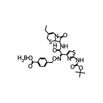 BOC(=O)c1ccc(CO/N=C(\C(=O)N[C@@H]2C(=O)N3C=C(CC)CS[C@H]23)c2csc(NC(=O)OC(C)(C)C)n2)cc1